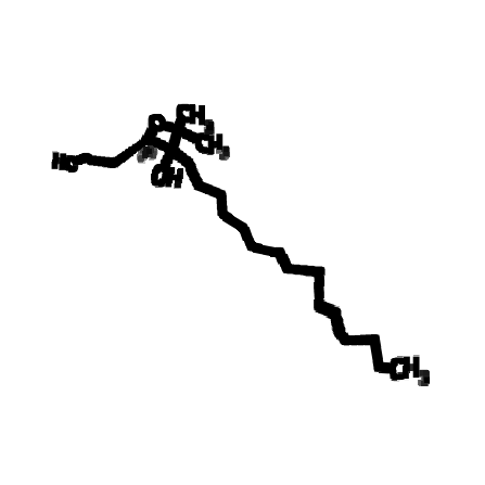 CCCCCCCCCCCCCCCC1(O)[C@@H](CCO)OC1(C)C